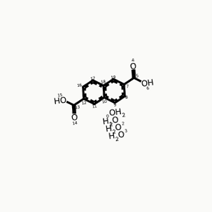 O.O.O.O.O=C(O)c1ccc2cc(C(=O)O)ccc2c1